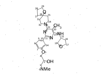 CNCC(O)COc1cccc(-c2nc(NC3CCOC3)c(C)c(N3CCC4(CCCO4)CC3)n2)c1